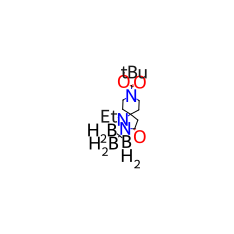 BC(B)(B)N1C(=O)CC2(CCN(C(=O)OC(C)(C)C)CC2)N1CC